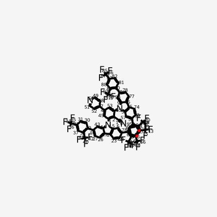 N#Cc1c(-n2c3cc(-c4ccc(C(F)(F)F)cc4C(F)(F)F)ccc3c3ccc(-c4ccc(C(F)(F)F)cc4C(F)(F)F)cc32)cc(-c2ccncc2)cc1-n1c2cc(-c3ccc(C(F)(F)F)cc3C(F)(F)F)ccc2c2ccc(-c3ccc(C(F)(F)F)cc3C(F)(F)F)cc21